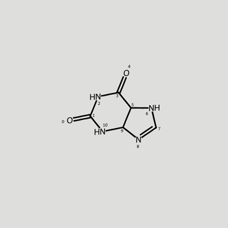 O=C1NC(=O)C2NC=NC2N1